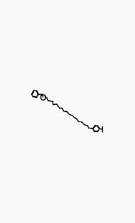 Ic1ccc(CCCCCCCCCCCCCCCCCCOCc2ccccc2)cc1